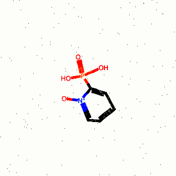 O=P(O)(O)c1cccc[n+]1[O-]